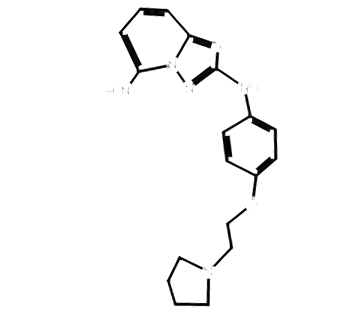 Nc1cccc2nc(Nc3ccc(OCCN4CCCC4)cc3)nn12